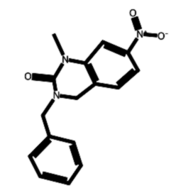 CN1C(=O)N(Cc2ccccc2)Cc2ccc([N+](=O)[O-])cc21